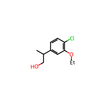 CCOc1cc([C](C)CO)ccc1Cl